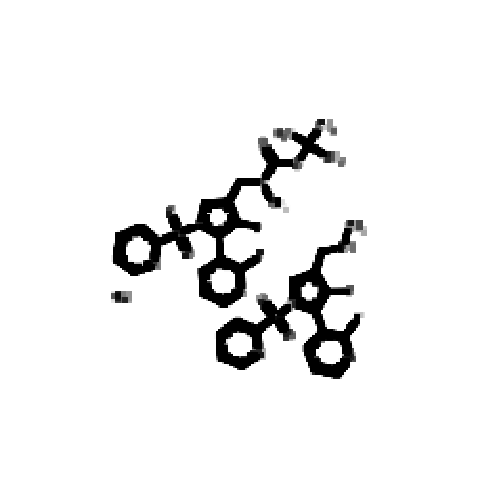 CN(Cc1cn(S(=O)(=O)c2ccccn2)c(-c2cccnc2F)c1F)C(=O)OC(C)(C)C.CNCc1cn(S(=O)(=O)c2ccccn2)c(-c2cccnc2F)c1F.Cl